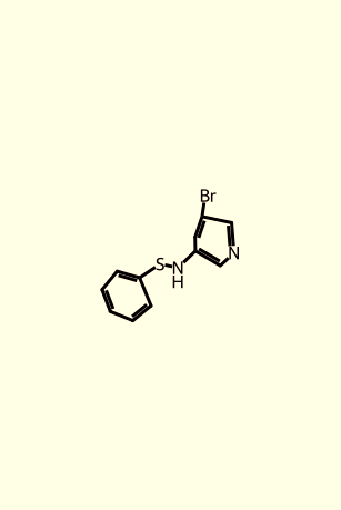 Brc1cncc(NSc2ccccc2)c1